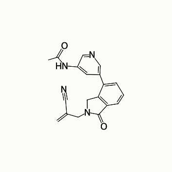 C=C(C#N)CN1Cc2c(cccc2-c2cncc(NC(C)=O)c2)C1=O